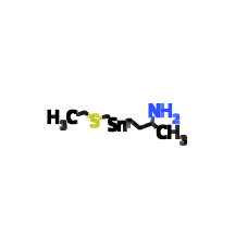 CCS[CH2][Sn][CH2]CC(C)N